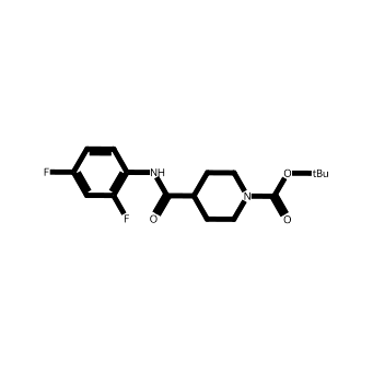 CC(C)(C)OC(=O)N1CCC(C(=O)Nc2ccc(F)cc2F)CC1